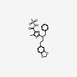 Cc1sc(N(CCc2ccc3c(c2)OCO3)Cc2ccccc2)nc1C(=O)NS(C)(=O)=O